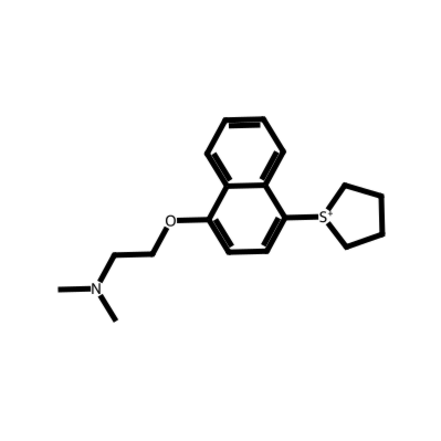 CN(C)CCOc1ccc([S+]2CCCC2)c2ccccc12